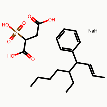 CC=CC(c1ccccc1)C(CC)CCCC.O=C(O)CC(C(=O)O)S(=O)(=O)O.[NaH]